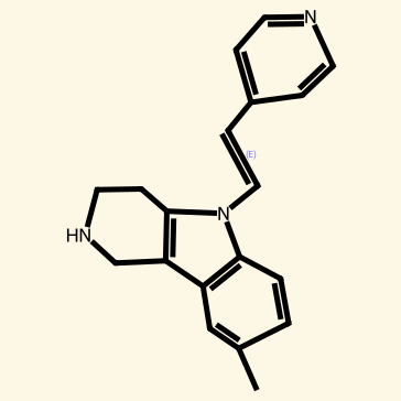 Cc1ccc2c(c1)c1c(n2/C=C/c2ccncc2)CCNC1